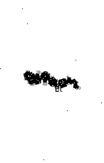 C=C/C=C\C=C(/C)c1ccc(N(CC)c2ccc(-c3cccc(-c4ccc5c(c4C)C4(C)C=CC=CC4C5(C)C)c3C)cc2)cc1